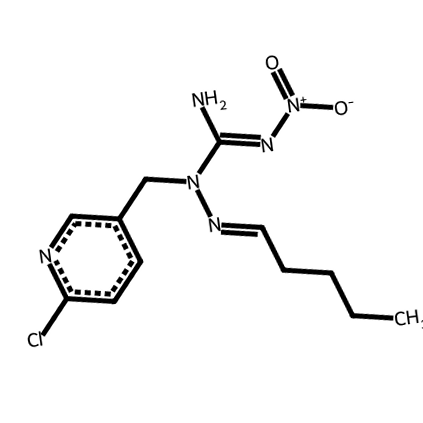 CCCC/C=N/N(Cc1ccc(Cl)nc1)/C(N)=N/[N+](=O)[O-]